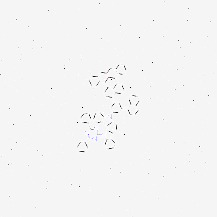 c1ccc(-c2nc(-c3ccccc3)nc(-n3c4ccccc4c4ccc5c(c6ccccc6n5-c5cc(-c6cccc7ccccc67)cc(-c6ccc(-c7cccc8ccccc78)c7c(-c8cccc9ccccc89)cccc67)c5)c43)n2)cc1